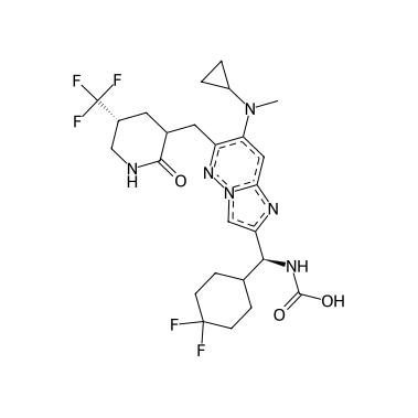 CN(c1cc2nc([C@@H](NC(=O)O)C3CCC(F)(F)CC3)cn2nc1CC1C[C@@H](C(F)(F)F)CNC1=O)C1CC1